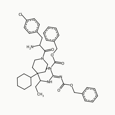 CCC(N/C(=N\C(=O)OCc1ccccc1)NC(=O)OCc1ccccc1)C1(C2CCCCC2)CCN(C(=O)C(N)Cc2ccc(Cl)cc2)CC1